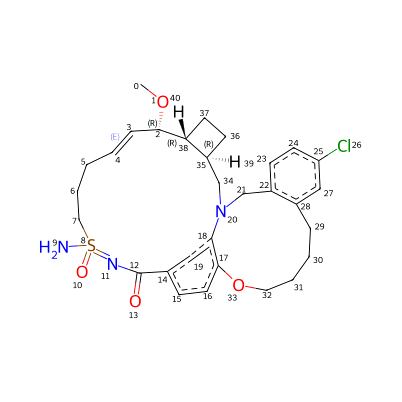 CO[C@H]1/C=C/CCCS(N)(=O)=NC(=O)c2ccc3c(c2)N(Cc2ccc(Cl)cc2CCCCO3)C[C@@H]2CC[C@H]21